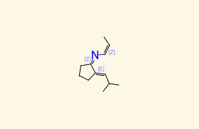 C\C=C/N=C1/CCC/C1=C\C(C)C